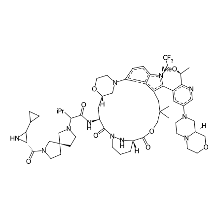 CO[C@@H](C)c1ncc(N2CCN3CCOC[C@@H]3C2)cc1-c1c2c3cc(ccc3n1CC(F)(F)F)N1CCO[C@@H](C[C@H](NC(=O)C(C(C)C)N3CC[C@]4(CCN(C(=O)[C@@H]5NC5C5CC5)C4)C3)C(=O)N3CCC[C@H](N3)C(=O)OCC(C)(C)C2)C1